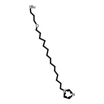 CC(C)(C)CCCOCCCCCCCCCCCCCCCn1ccnc1